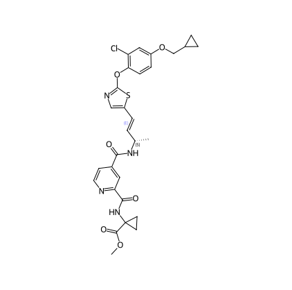 COC(=O)C1(NC(=O)c2cc(C(=O)N[C@@H](C)/C=C/c3cnc(Oc4ccc(OCC5CC5)cc4Cl)s3)ccn2)CC1